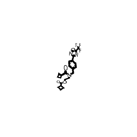 O=C(OCCN(Cc1ccc(-c2noc(C(F)(F)F)n2)cc1)C(=O)C1CCC1)C1CCC1